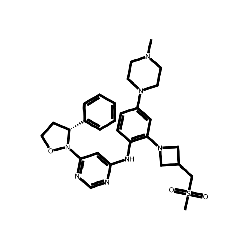 CN1CCN(c2ccc(Nc3cc(N4OCC[C@@H]4c4ccccc4)ncn3)c(N3CC(CS(C)(=O)=O)C3)c2)CC1